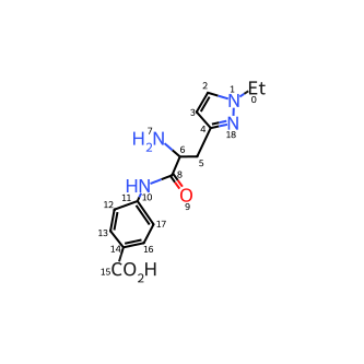 CCn1ccc(CC(N)C(=O)Nc2ccc(C(=O)O)cc2)n1